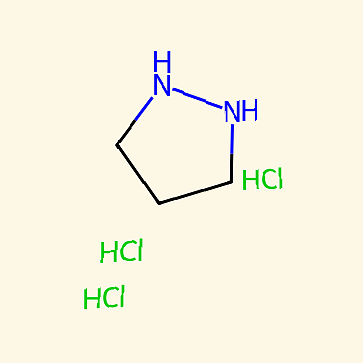 C1CNNC1.Cl.Cl.Cl